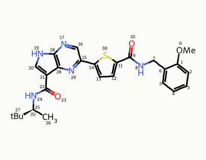 COc1ccccc1CNC(=O)c1ccc(-c2cnc3[nH]cc(C(=O)N[C@@H](C)C(C)(C)C)c3n2)s1